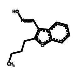 CCCCc1oc2ccccc2c1C=NO